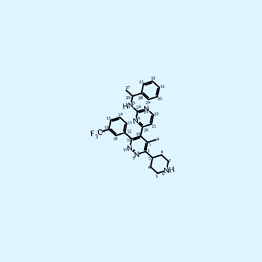 Cc1c(C2CCNCC2)nnc(-c2cccc(C(F)(F)F)c2)c1-c1ccnc(NC(C)c2ccccc2)n1